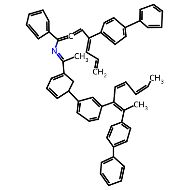 C=C/C=C(/C=C=C(/N=C(\C)C1=CC=CC(c2cccc(C(/C=C\C=C/C)=C(/C)c3ccc(-c4ccccc4)cc3)c2)C1)c1ccccc1)c1ccc(-c2ccccc2)cc1